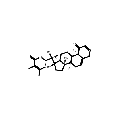 CC1=C(C)C(=O)O[C@H]([C@](C)(O)C2(O)CC[C@@]3(O)[C@@H]4CC=C5CC=CC(=O)[C@]5(C)C4CC[C@]23C)C1